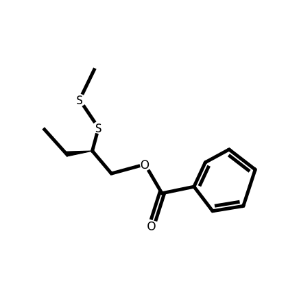 CC[C@H](COC(=O)c1ccccc1)SSC